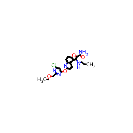 CCCNc1c(C(N)=O)oc2ccc3nc(Oc4cc(Cl)nc(COCC)n4)ccc3c12